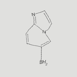 Bc1ccc2nccn2c1